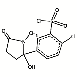 CN1C(=O)CCC1(O)c1ccc(Cl)c(S(=O)(=O)Cl)c1